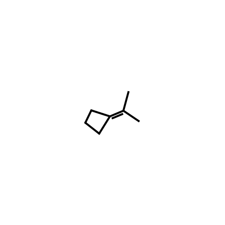 CC(C)=C1CCC1